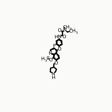 CCN(C)C(=O)C(=O)Nc1ccc(Oc2ccnc3c(OC)c(OCC4CCNCC4)ccc23)c(F)c1